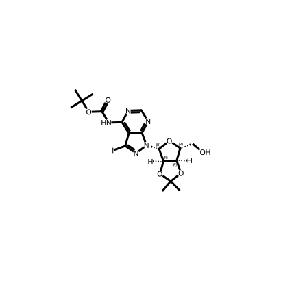 CC(C)(C)OC(=O)Nc1ncnc2c1c(I)nn2[C@@H]1O[C@H](CO)[C@H]2OC(C)(C)O[C@H]21